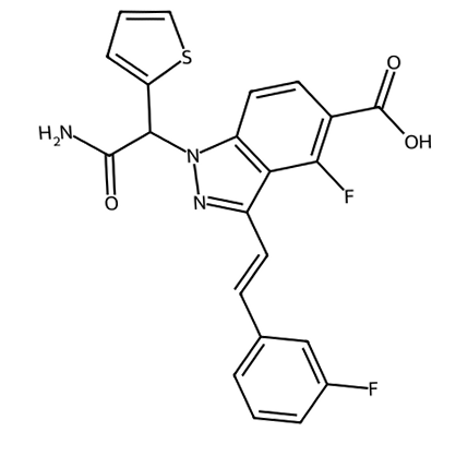 NC(=O)C(c1cccs1)n1nc(/C=C/c2cccc(F)c2)c2c(F)c(C(=O)O)ccc21